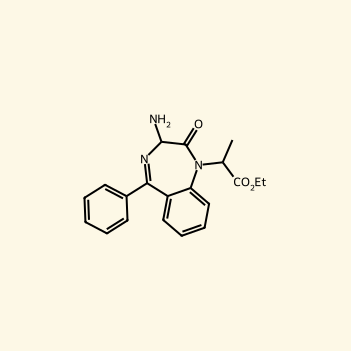 CCOC(=O)C(C)N1C(=O)C(N)N=C(c2ccccc2)c2ccccc21